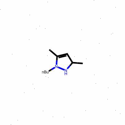 CCCCN1NC(C)C=C1C